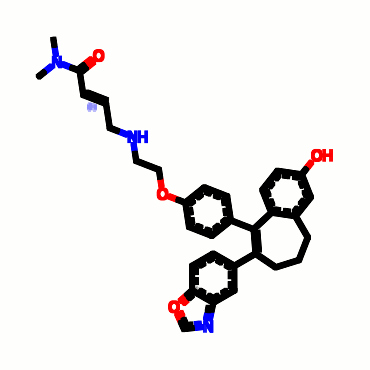 CN(C)C(=O)/C=C/CNCCOc1ccc(C2=C(c3ccc4ocnc4c3)CCCc3cc(O)ccc32)cc1